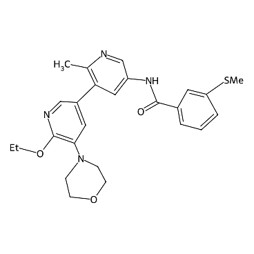 CCOc1ncc(-c2cc(NC(=O)c3cccc(SC)c3)cnc2C)cc1N1CCOCC1